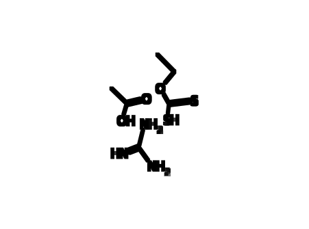 CC(=O)O.CCOC(=S)S.N=C(N)N